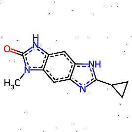 Cn1c(=O)[nH]c2cc3[nH]c(C4CC4)nc3cc21